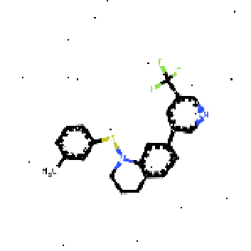 Cc1cccc(SN2CCCc3ccc(-c4cncc(C(F)(F)F)c4)cc32)c1